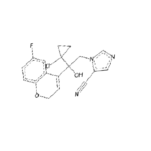 N#Cc1cncn1CC(O)(C1=CCOc2ccc(F)cc21)C1(Cl)CC1